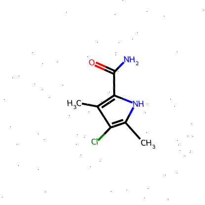 Cc1[nH]c(C(N)=O)c(C)c1Cl